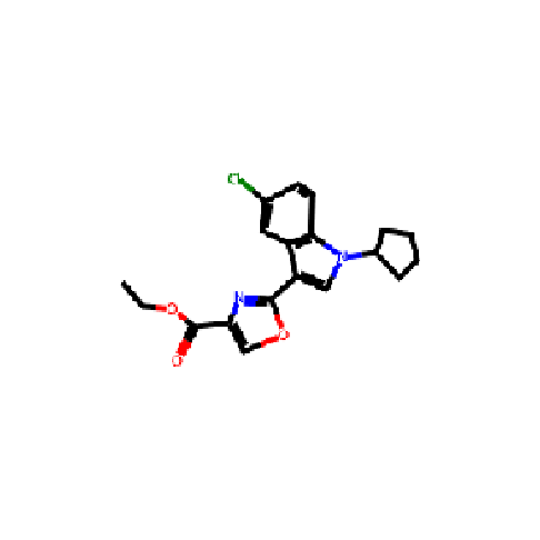 CCOC(=O)c1coc(-c2cn(C3CCCC3)c3ccc(Cl)cc23)n1